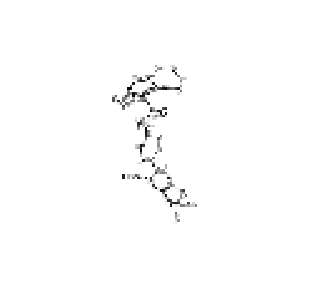 Cc1cc2c(cc1-c1ccc(NC(=O)c3c4c(cn3C)CCCC4)cc1)OC(F)(F)O2